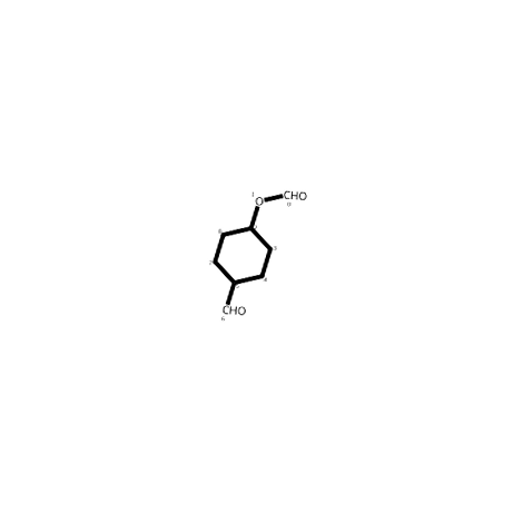 O=COC1CCC(C=O)CC1